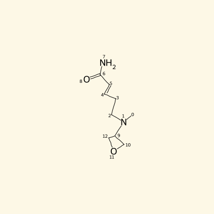 CN(CCC=CC(N)=O)C1COC1